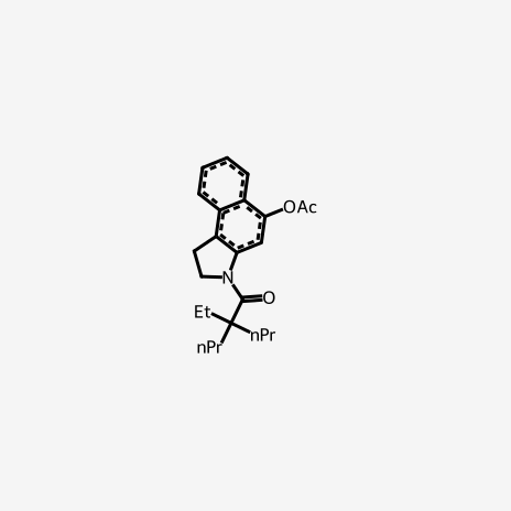 CCCC(CC)(CCC)C(=O)N1CCc2c1cc(OC(C)=O)c1ccccc21